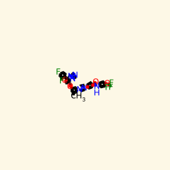 Cc1cc(OC[C@@H]2CO[C@@](Cn3cncn3)(c3ccc(F)cc3F)C2)cc(N2CCN(c3ccc(C(=O)Nc4ccc(OC(F)(F)F)cc4)cc3)CC2)c1